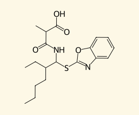 CCCCC(CC)C(NC(=O)C(C)C(=O)O)Sc1nc2ccccc2o1